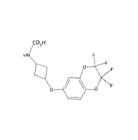 O=C(O)NC1CC(Oc2ccc3c(c2)OC(F)(F)C(F)(F)O3)C1